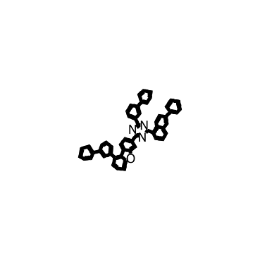 c1ccc(-c2cccc(-c3nc(-c4ccc5c(c4)oc4cccc(-c6cccc(-c7ccccc7)c6)c45)nc(-c4cccc5cc(-c6ccccc6)ccc45)n3)c2)cc1